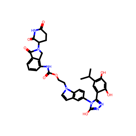 CC(C)c1cc(-c2nnc(O)n2-c2ccc3c(ccn3CCOC(=O)Nc3cccc4c3CN(C3CCC(=O)NC3=O)C4=O)c2)c(O)cc1O